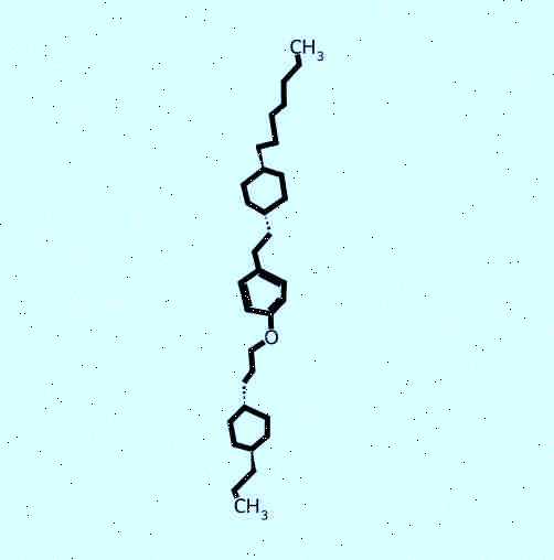 CCCCCCC[C@H]1CC[C@H](CCc2ccc(OCCC[C@H]3CC[C@H](CCC)CC3)cc2)CC1